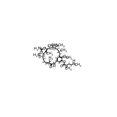 CNCCN(C)C(=O)Oc1cc2cc(c1OC)C[C@@H](C)C[C@H](OC)[C@H](O)[C@@H](C)/C=C(\C)[C@H](OC(N)=O)[C@@H](OC)CC/C=C(\C)C(=O)N2